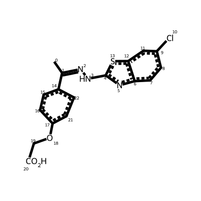 CC(=NNc1nc2ccc(Cl)cc2s1)c1ccc(OCC(=O)O)cc1